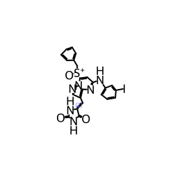 O=C1NC(=O)/C(=C/c2cnn3c([S+]([O-])Cc4ccccc4)cc(Nc4cccc(I)c4)nc23)N1